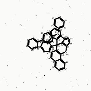 c1ccc(-c2ccc(N(c3ccccc3)c3cccc4c3C3(c5ccccc5-c5ccccc53)c3ccc5ccccc5c3S4)cc2)cc1